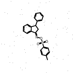 Cc1ccc(S(=O)(=O)ON=C2CC(c3ccccc3)c3ccccc32)cc1